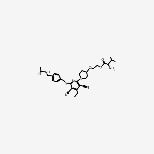 CCc1c(C#N)c(SCc2ccc(CNC(C)=O)cc2)nc(N2CCC(OCCOC(=O)C(N)C(C)C)CC2)c1C#N